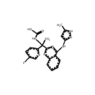 Cc1cc(Nc2nc(C(C)(NC(=O)O)c3ccc(F)cn3)nc3ccccc23)n[nH]1